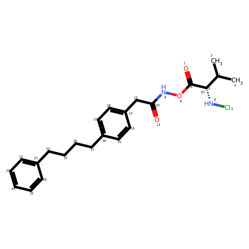 CC(C)[C@H](NCl)C(=O)ONC(=O)Cc1ccc(CCCCc2ccccc2)cc1